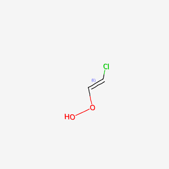 OO/C=C/Cl